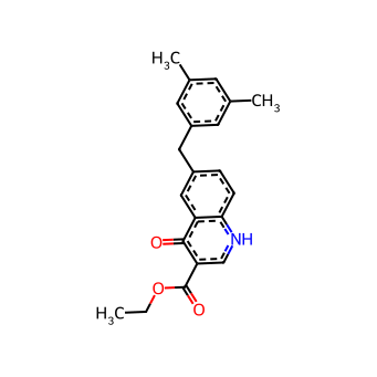 CCOC(=O)c1c[nH]c2ccc(Cc3cc(C)cc(C)c3)cc2c1=O